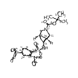 CC(C)(C)OC(=O)N1C[C@@H]2[C@H](C1)[C@H]2NS(=O)(=O)c1ccc([N+](=O)[O-])cc1[N+](=O)[O-]